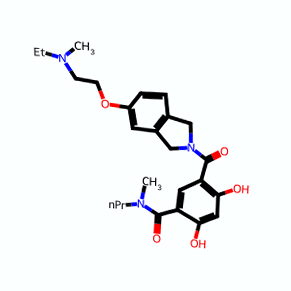 CCCN(C)C(=O)c1cc(C(=O)N2Cc3ccc(OCCN(C)CC)cc3C2)c(O)cc1O